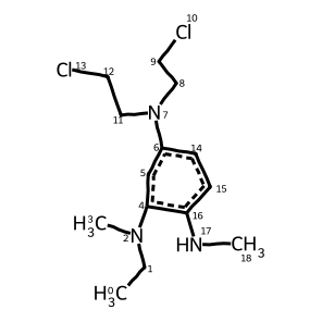 CCN(C)c1cc(N(CCCl)CCCl)ccc1NC